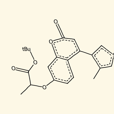 Cc1cscc1-c1cc(=O)oc2cc(OC(C)C(=O)OC(C)(C)C)ccc12